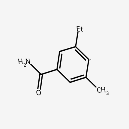 CCc1[c]c(C)cc(C(N)=O)c1